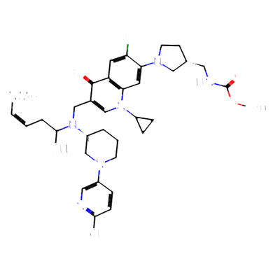 CN/C=C\CC(C)N(Cc1cn(C2CC2)c2cc(N3CC[C@@H](CNC(=O)OC(C)(C)C)C3)c(F)cc2c1=O)[C@H]1CCCN(c2ccc(C)nc2)C1